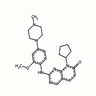 COc1cc(N2CCN(C)CC2)ccc1Nc1ncc2ccc(=O)n(C3CCCC3)c2n1